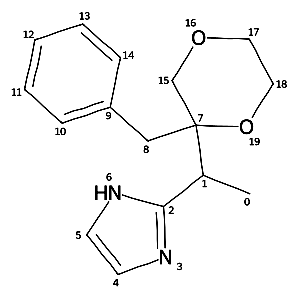 CC(c1ncc[nH]1)C1(Cc2ccccc2)COCCO1